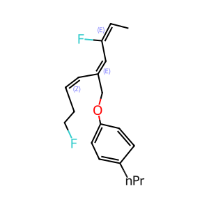 C\C=C(F)/C=C(\C=C/CCF)COc1ccc(CCC)cc1